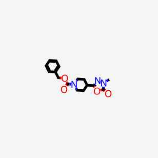 Cn1nc(C2CCN(C(=O)OCc3ccccc3)CC2)oc1=O